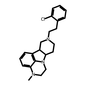 CN1CCN2c3c(cccc31)C1CN(CCc3ccccc3Cl)CCC12